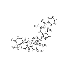 CC(=O)O[C@H]1C[C@@]2(C)[C@@H]3CC[C@H]4[C@H](C)C(=O)C=C[C@@]45CC35CC[C@]2(C)[C@H]1[C@H](C)[C@@H](OC(C)=O)C1=C(CN(C)OC(=O)c2ccccc2)[C@@H](C)CO1